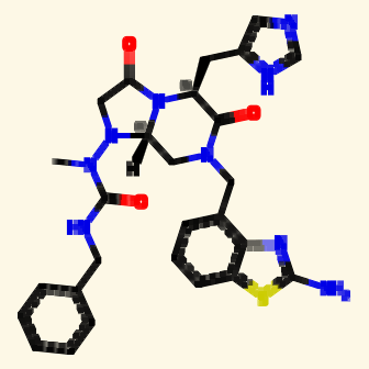 CN(C(=O)NCc1ccccc1)N1CC(=O)N2[C@@H](Cc3cnc[nH]3)C(=O)N(Cc3cccc4sc(N)nc34)C[C@@H]21